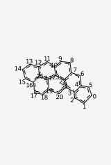 c1ccc2c(c1)cc1ccc3cc4cccc5ccc6cc2c1c3c6c54